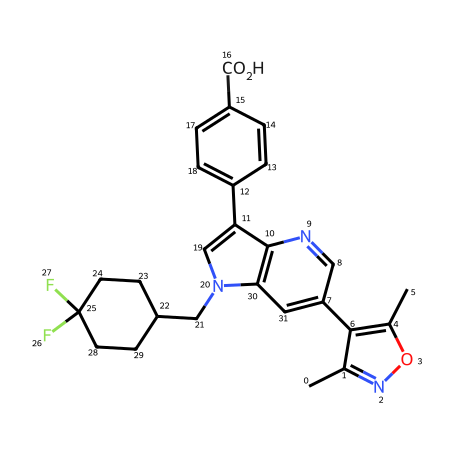 Cc1noc(C)c1-c1cnc2c(-c3ccc(C(=O)O)cc3)cn(CC3CCC(F)(F)CC3)c2c1